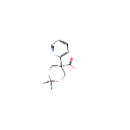 CC1(C)OCC(C(=O)[O-])(c2ccccn2)CO1.[Na+]